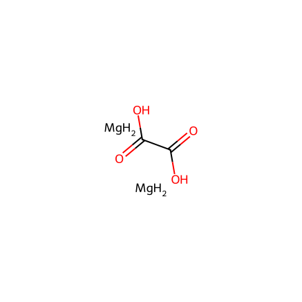 O=C(O)C(=O)O.[MgH2].[MgH2]